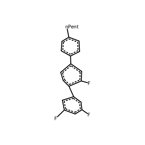 CCCCCc1ccc(-c2ccc(-c3cc(F)cc(F)c3)c(F)c2)cc1